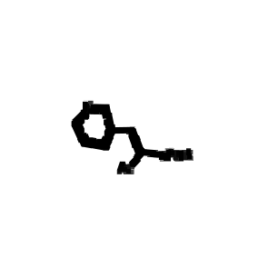 CCCCCC(=Cc1cccnc1)C(C)=O